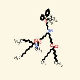 CCCCCCCCC(CCCCCC)C(=O)OCCCCCC(CCCCCOC(=O)CN(C)C(=O)C(CCCCCC)CCCCCCCC)NCCCCO[Si](c1ccccc1)(c1ccccc1)C(C)(C)C